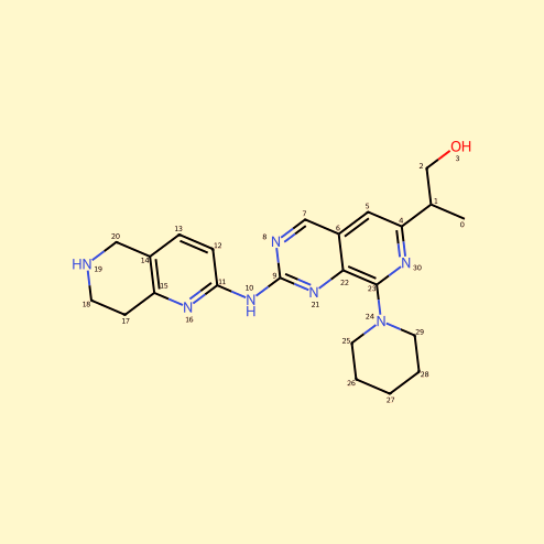 CC(CO)c1cc2cnc(Nc3ccc4c(n3)CCNC4)nc2c(N2CCCCC2)n1